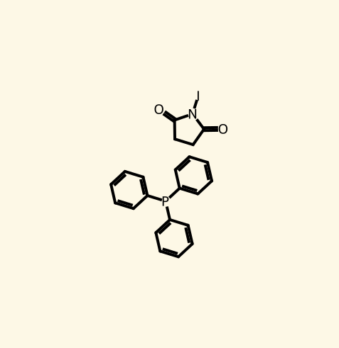 O=C1CCC(=O)N1I.c1ccc(P(c2ccccc2)c2ccccc2)cc1